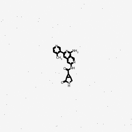 Cc1ccncc1-c1cc2cc(NC(=O)C3C4CNC(=O)C43)ncc2c(N)n1